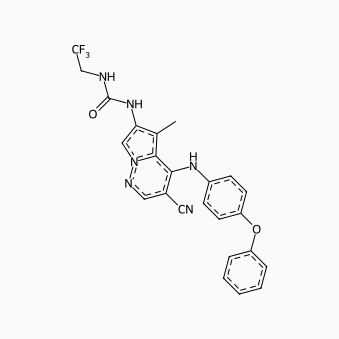 Cc1c(NC(=O)NCC(F)(F)F)cn2ncc(C#N)c(Nc3ccc(Oc4ccccc4)cc3)c12